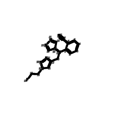 N#Cc1ccccc1N(Cc1cn(CCF)nn1)n1cnnc1